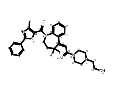 Cc1nc(-c2ccccc2)sc1C(=O)N1CCC(F)(F)/C(=C\C(=O)N2CCN(CCO)CC2)c2ccccc21